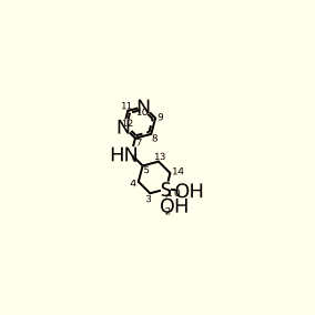 OS1(O)CCC(Nc2ccncn2)CC1